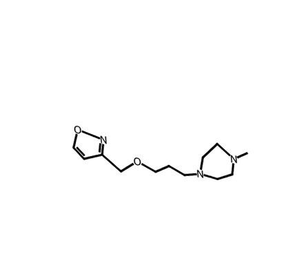 CN1CCN(CCCOCc2ccon2)CC1